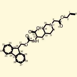 C=CCOC(=O)CN1CCC(CC(NC(=O)OCC2c3ccccc3-c3ccccc32)C(=O)O)CC1